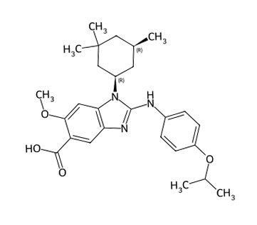 COc1cc2c(cc1C(=O)O)nc(Nc1ccc(OC(C)C)cc1)n2[C@@H]1C[C@H](C)CC(C)(C)C1